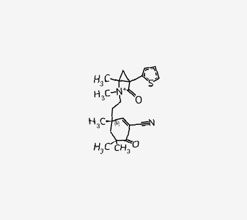 CC1(C)C[C@](C)(CC[N+]2(C)C(=O)C3(c4cccs4)CC32C)C=C(C#N)C1=O